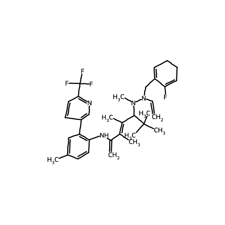 C=CN(CC1=CCCC=C1F)N(C)C(/C(C)=C(\C)C(=C)Nc1ccc(C)cc1-c1ccc(C(F)(F)F)nc1)C(C)(C)C